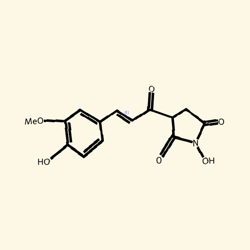 COc1cc(/C=C/C(=O)C2CC(=O)N(O)C2=O)ccc1O